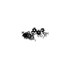 COc1c(CN2O[C@@H](CO)[C@@H]([C@H](C)O)[C@H]2C(=O)N[C@H]2C[C@H]3C[C@@H]([C@@H]2C)C3(C)C)cccc1-c1cc(C(=O)O)cc(N2CCC[C@@H]2CO)c1